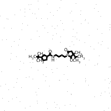 CC(C)C1(C)CC(=O)N(CCCCNC(=O)C2CCC(C(C)(C)C)C2)C1=O